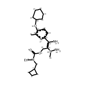 CCN(CC1CCC1)C(=O)OC/C(=C(/N)c1ccc(OC2CCCCC2)c(C)n1)N(C)N